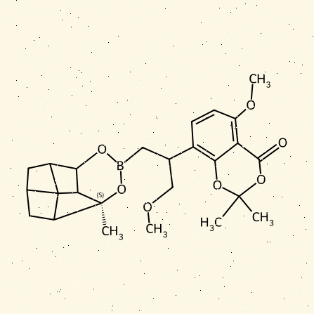 COCC(CB1OC2C3CC4CC5C43C2[C@@]5(C)O1)c1ccc(OC)c2c1OC(C)(C)OC2=O